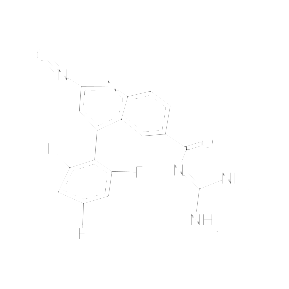 [C-]#[N+]c1cc(-c2c(F)cc(F)cc2F)c2cc(C(=O)N=C(N)N)ccc2n1